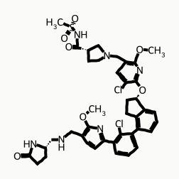 COc1nc(-c2cccc(-c3cccc4c3CC[C@@H]4Oc3nc(OC)c(CN4CC[C@H](C(=O)NS(C)(=O)=O)C4)cc3Cl)c2Cl)ccc1CNC[C@@H]1CCC(=O)N1